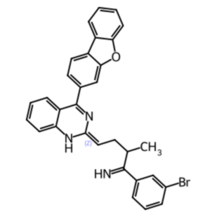 CC(C/C=C1\N=C(c2ccc3c(c2)oc2ccccc23)c2ccccc2N1)C(=N)c1cccc(Br)c1